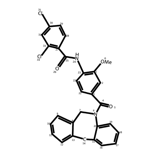 COc1cc(C(=O)N2Cc3ccccc3Cc3ccccc32)ccc1NC(=O)c1ccc(Cl)cc1Cl